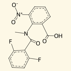 CN(C(=O)c1c(F)cccc1F)c1c(C(=O)O)cccc1[N+](=O)[O-]